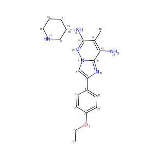 CCOc1ccc(-c2cn3nc(N[C@H]4CCCNC4)c(C)c(N)c3n2)cc1